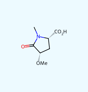 CO[C@H]1C[C@@H](C(=O)O)N(C)C1=O